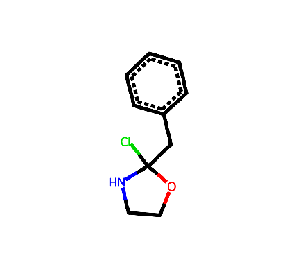 ClC1(Cc2ccccc2)NCCO1